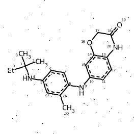 CCC(C)(C)Nc1ccc(Nc2ccc3c(c2)OCC(=O)N3)c(C)c1